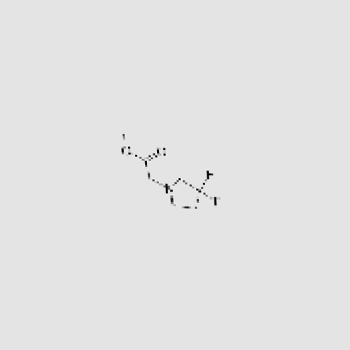 COC(=O)CN1CCC(F)(F)C1